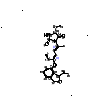 C=N/C(=C\C=C(/C)N1C(=O)N[C@H](CC)C1=O)Oc1cccc2c1C(CC)OC2